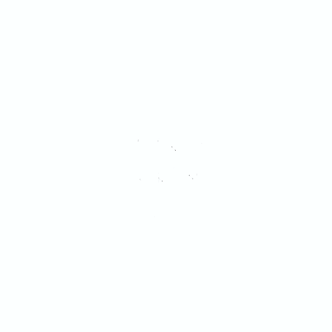 Cc1cnc2n1CCCC(=O)N2C